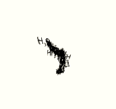 CC(C)n1c(Nc2ccc(OCc3ccccn3)c(Cl)c2)nc2cnc(Nc3ccc(N4CCN(C)CC4)cc3)nc21